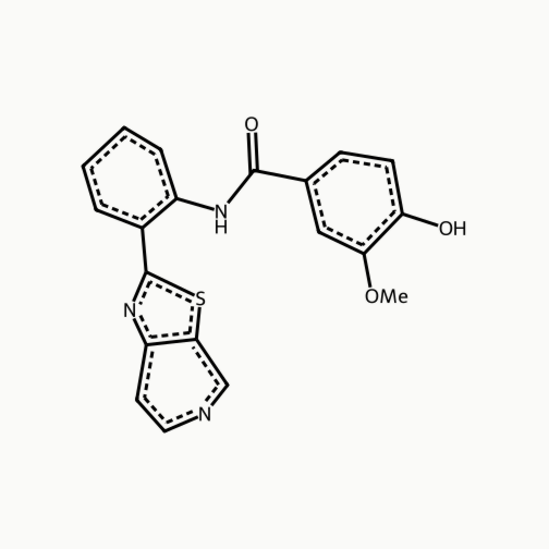 COc1cc(C(=O)Nc2ccccc2-c2nc3ccncc3s2)ccc1O